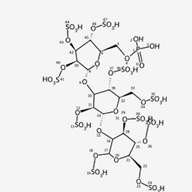 O=P(O)(O)OC[C@H]1O[C@H](OC2[C@H](OS(=O)(=O)O)[C@@H](OC3C(OS(=O)(=O)O)O[C@H](COS(=O)(=O)O)[C@@H](OS(=O)(=O)O)[C@@H]3OS(=O)(=O)O)O[C@H](COS(=O)(=O)O)[C@H]2OS(=O)(=O)O)[C@@H](OS(=O)(=O)O)[C@@H](OS(=O)(=O)O)[C@@H]1OS(=O)(=O)O